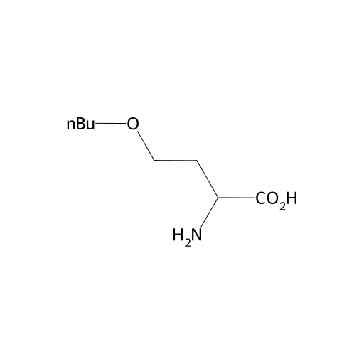 CCCCOCCC(N)C(=O)O